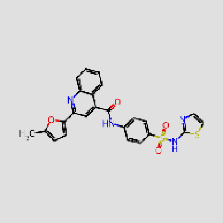 Cc1ccc(-c2cc(C(=O)Nc3ccc(S(=O)(=O)Nc4nccs4)cc3)c3ccccc3n2)o1